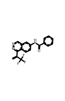 C=C(c1nncc2cc(NC(=O)c3ccccc3)ccc12)C(F)(F)F